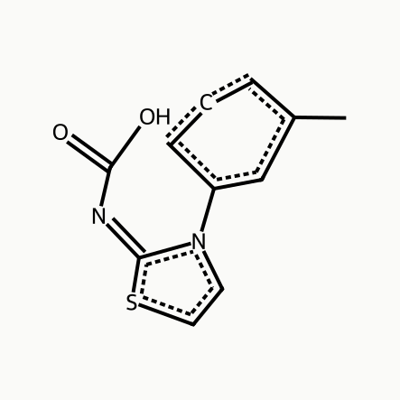 Cc1cccc(-n2ccs/c2=N/C(=O)O)c1